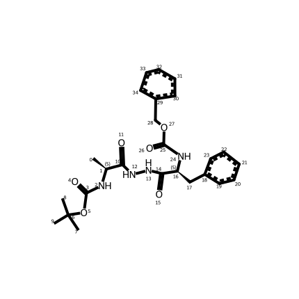 C[C@H](NC(=O)OC(C)(C)C)C(=O)NNC(=O)[C@H](Cc1ccccc1)NC(=O)OCc1ccccc1